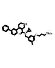 COCCCOc1cc(C)cc(CN(C(=O)C2=C(c3cccc(-c4ccccc4)c3)CCNC2)C2CC2)c1